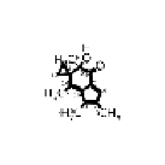 [CH2]C1=C(C)C=C2C(=O)[C@](C)(O)C3(CC3)C(C)=C21